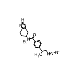 CCN(C(=O)c1ccc(C(C)CN=[N+]=[N-])cc1)C1CCc2n[nH]cc2C1